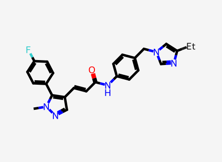 CCc1cn(Cc2ccc(NC(=O)/C=C/c3cnn(C)c3-c3ccc(F)cc3)cc2)cn1